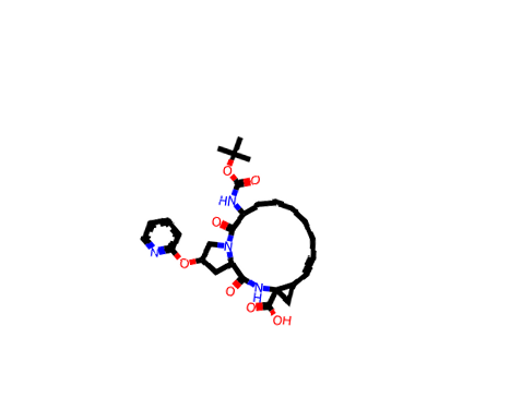 CC(C)(C)OC(=O)NC1CCCCCC=CC2CC2(C(=O)O)NC(=O)C2CC(Oc3ccccn3)CN2C1=O